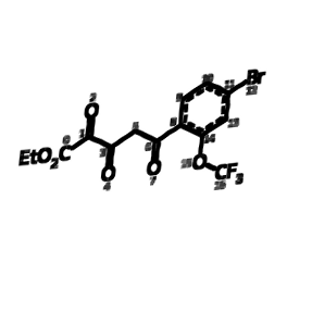 CCOC(=O)C(=O)C(=O)CC(=O)c1ccc(Br)cc1OC(F)(F)F